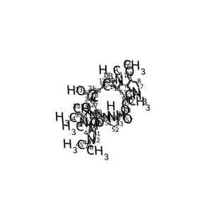 CCn1c(-c2cnccc2COC)c2c3cc(ccc31)-c1cc(O)cc(c1)C[C@H](NC(=O)C(C(C)C)N(C)C(=O)[C@H]1CCN(C(C)C)C1)C(=O)N1CCC[C@H](N1)C(=O)OCC(C)(C)C2